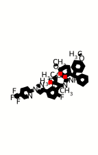 COc1ccc(C(NC2=NC(C)(c3cc(-c4cn(-c5ccc(C(F)(F)F)cn5)cn4)ccc3F)C(F)(F)C(C)(C)OC2)(c2ccccc2)c2ccc(OC)cc2)cc1